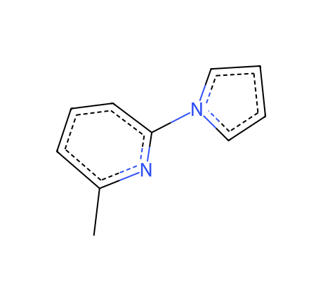 Cc1cccc(-n2cccc2)n1